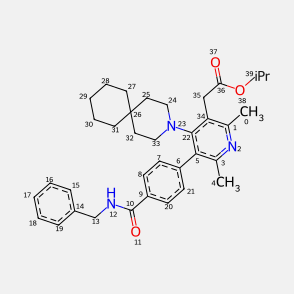 Cc1nc(C)c(-c2ccc(C(=O)NCc3ccccc3)cc2)c(N2CCC3(CCCCC3)CC2)c1CC(=O)OC(C)C